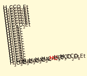 CC(C)=O.CC(C)=O.CC(C)=O.CC(C)=O.CC(C)=O.CC(C)=O.CC(C)=O.CC(C)=O.CC(C)=O.CC(C)=O.CC(C)=O.CC(C)=O.CC(C)=O.CC(C)=O.CC(C)=O.CC(C)=O.CC(C)=O.CC(C)=O.CC(C)=O.CC(C)=O.CCO.CCOC(C)=O.CCOC(C)=O.CCOC(C)=O.CCOC(C)=O.CCOC(C)=O.CCOC(C)=O.CCOC(C)=O.CCOC(C)=O.CCOC(C)=O.CCOC(C)=O